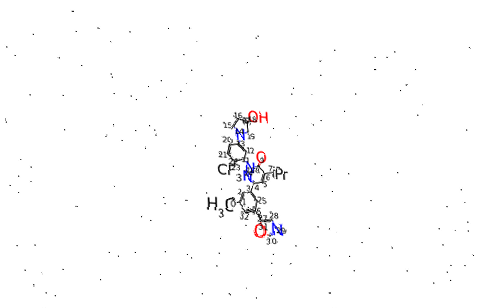 Cc1cc(-c2cc(C(C)C)c(=O)n(-c3cc(N4CC[C@H](O)C4)ccc3C(F)(F)F)n2)cc(-c2cnco2)c1